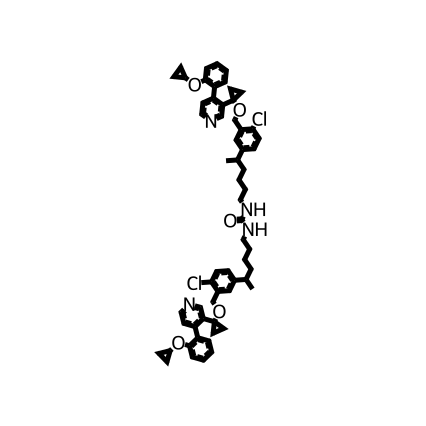 CC(CCCCNC(=O)NCCCCC(C)c1ccc(Cl)c(COC2(c3cnccc3-c3ccccc3OC3CC3)CC2)c1)c1ccc(Cl)c(COC2(c3cnccc3-c3ccccc3OC3CC3)CC2)c1